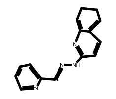 C1=c2ccc(N/N=C/c3ccccn3)nc2=CCC1